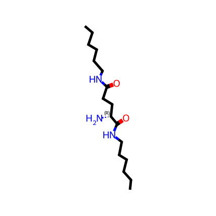 CCCCCCNC(=O)CC[C@@H](N)C(=O)NCCCCCC